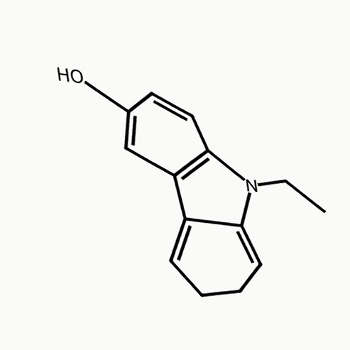 CCn1c2c(c3cc(O)ccc31)=CCCC=2